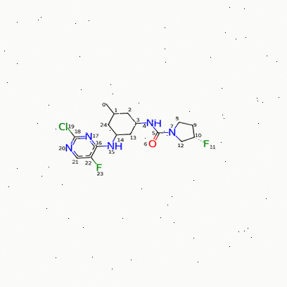 CC1CC(NC(=O)N2CC[C@H](F)C2)CC(Nc2nc(Cl)ncc2F)C1